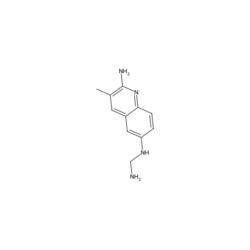 Cc1cc2cc(NCN)ccc2nc1N